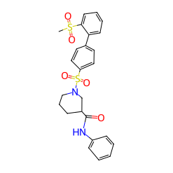 CS(=O)(=O)c1ccccc1-c1ccc(S(=O)(=O)N2CCCC(C(=O)Nc3ccccc3)C2)cc1